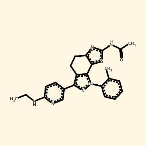 CCNc1ccc(-c2nn(-c3ccccc3C)c3c2CCc2nc(NC(C)=O)sc2-3)cn1